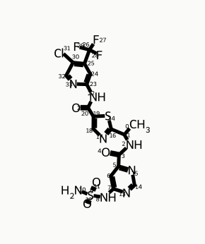 CC(NC(=O)c1cc(NS(N)(=O)=O)ncn1)c1ncc(C(=O)Nc2cc(C(F)(F)F)c(Cl)cn2)s1